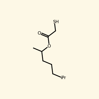 CC(C)CCCC(C)OC(=O)CS